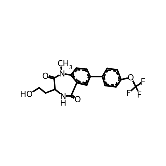 CN1C(=O)C(CCO)NC(=O)c2cc(-c3ccc(OC(F)(F)F)cc3)ccc21